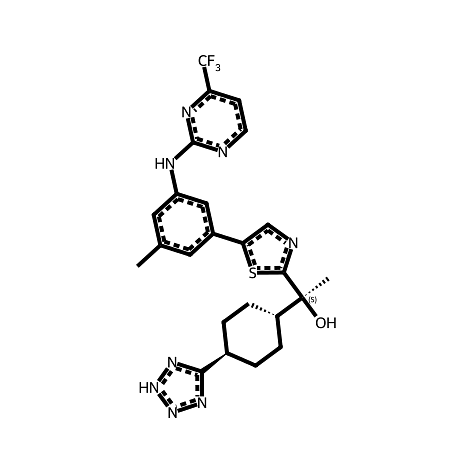 Cc1cc(Nc2nccc(C(F)(F)F)n2)cc(-c2cnc([C@@](C)(O)[C@H]3CC[C@H](c4nn[nH]n4)CC3)s2)c1